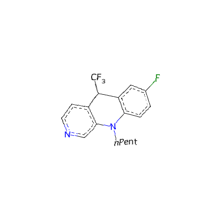 CCCCCN1c2ccc(F)cc2C(C(F)(F)F)c2ccncc21